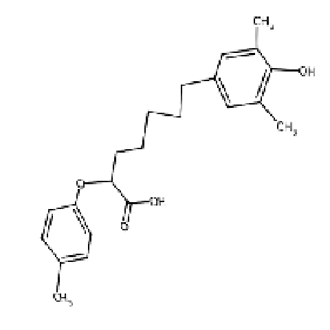 Cc1ccc(OC(CCCCCc2cc(C)c(O)c(C)c2)C(=O)O)cc1